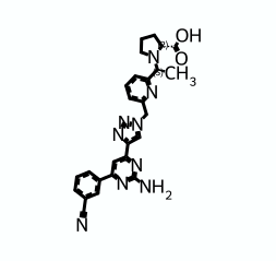 C[C@@H](c1cccc(Cn2cc(-c3cc(-c4cccc(C#N)c4)nc(N)n3)nn2)n1)N1CCC[C@@H]1C(=O)O